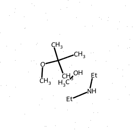 CCNCC.CO.COC(C)(C)C